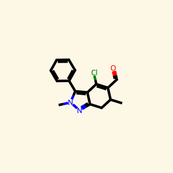 CC1Cc2nn(C)c(-c3ccccc3)c2C(Cl)=C1C=O